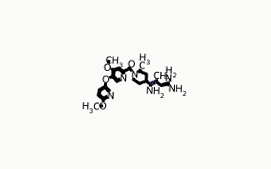 COc1ccc(Oc2cnc(C(=O)N3CCC(/C(N)=C(\C)C=C(N)N)CC3C)cc2OC)cn1